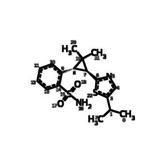 CC(C)c1cnc([C@H]2[C@H](c3ccccc3S(N)(=O)=O)C2(C)C)s1